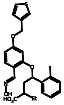 CCC(CC(Oc1cc(OCc2ccsc2)ccc1C=NO)c1ccccc1C)C(=O)O